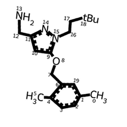 Cc1ccc(C)c(COc2cc(CN)nn2CCC(C)(C)C)c1